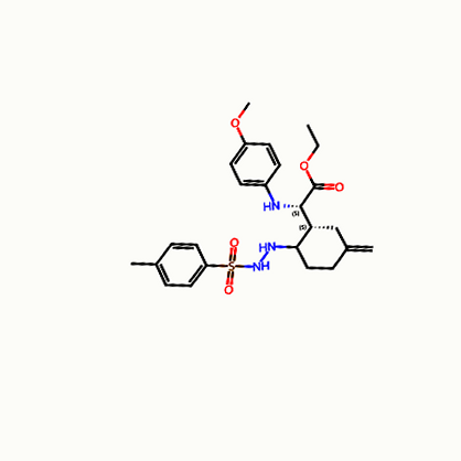 C=C1CCC(NNS(=O)(=O)c2ccc(C)cc2)[C@H]([C@H](Nc2ccc(OC)cc2)C(=O)OCC)C1